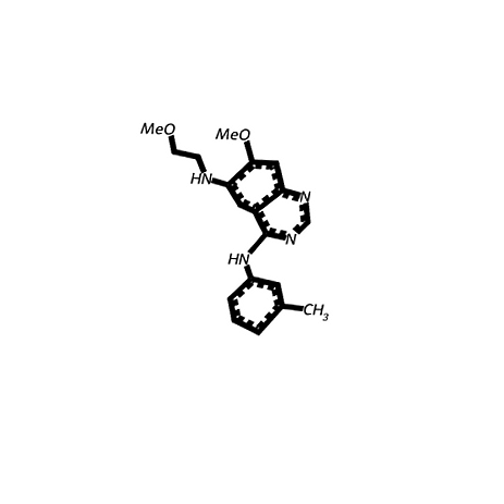 COCCNc1cc2c(Nc3cccc(C)c3)ncnc2cc1OC